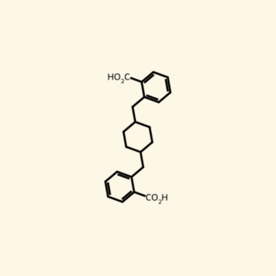 O=C(O)c1ccccc1CC1CCC(Cc2ccccc2C(=O)O)CC1